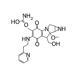 COC12C(CO)C3=C(C(=O)C(C)=C(NCCc4ccccn4)C3=O)N1CC1NC12.NC(=O)O